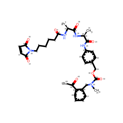 CC(C)[C@H](NC(=O)CCCCCN1C(=O)C=CC1=O)C(=O)N[C@@H](C)C(=O)Nc1ccc(COC(=O)N(C)Cc2ccccc2C(=O)C(C)(C)C)cc1